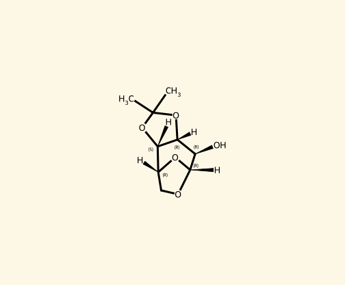 CC1(C)O[C@@H]2[C@@H](O)[C@@H]3OC[C@@H](O3)[C@@H]2O1